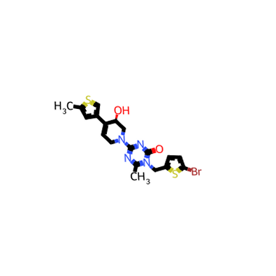 Cc1cc(C2=CCN(c3nc(C)n(Cc4ccc(Br)s4)c(=O)n3)C[C@@H]2O)cs1